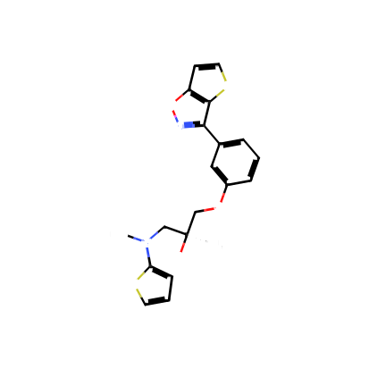 CN(C[C@](C)(O)COc1cccc(-c2noc3ccsc23)c1)c1cccs1